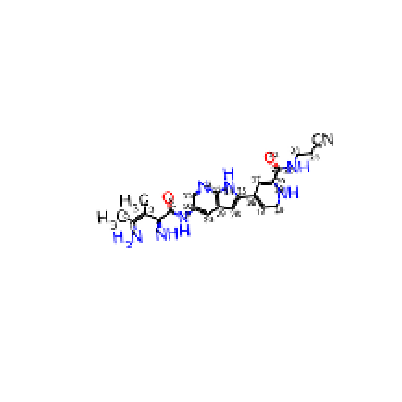 C/C(N)=C(\C)C(=N)C(=O)Nc1cnc2[nH]c(C3=CCNC(C(=O)NCCC#N)=C3)cc2c1